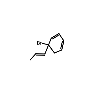 CC=CC1(Br)C=CC=CC1